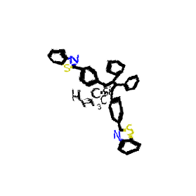 C[Si]1(C)C(c2ccc(-c3nc4ccccc4s3)cc2)=C(c2ccccc2)C(c2ccccc2)=C1c1ccc(-c2nc3ccccc3s2)cc1